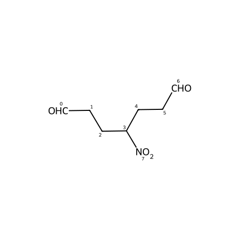 O=CCCC(CCC=O)[N+](=O)[O-]